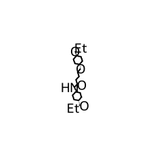 CCO[C@H]1CC[C@H](OCCCC(=O)N[C@H]2CC[C@@H](C(=O)CC)CC2)CC1